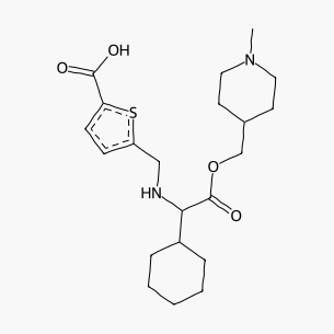 CN1CCC(COC(=O)C(NCc2ccc(C(=O)O)s2)C2CCCCC2)CC1